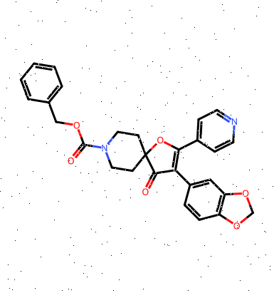 O=C(OCc1ccccc1)N1CCC2(CC1)OC(c1ccncc1)=C(c1ccc3c(c1)OCO3)C2=O